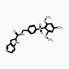 COc1cc(C)cc(OC)c1S(=O)(=O)c1ccc(CNC(=O)C2Cc3cnccc3N2)cc1